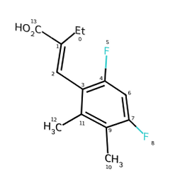 CC/C(=C\c1c(F)cc(F)c(C)c1C)C(=O)O